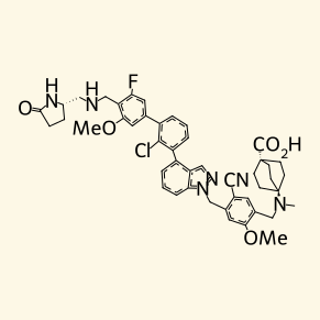 COc1cc(Cn2ncc3c(-c4cccc(-c5cc(F)c(CNC[C@@H]6CCC(=O)N6)c(OC)c5)c4Cl)cccc32)c(C#N)cc1CN(C)[C@]12CC[C@@](C(=O)O)(CC1)CC2